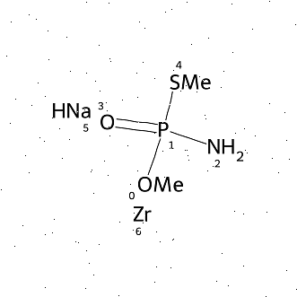 COP(N)(=O)SC.[NaH].[Zr]